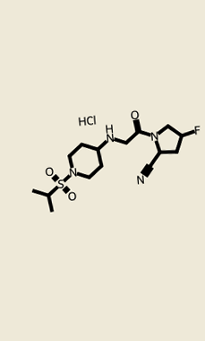 CC(C)S(=O)(=O)N1CCC(NCC(=O)N2CC(F)CC2C#N)CC1.Cl